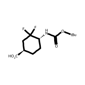 CC(C)(C)OC(=O)N[C@@H]1CC[C@@H](C(=O)O)CC1(F)F